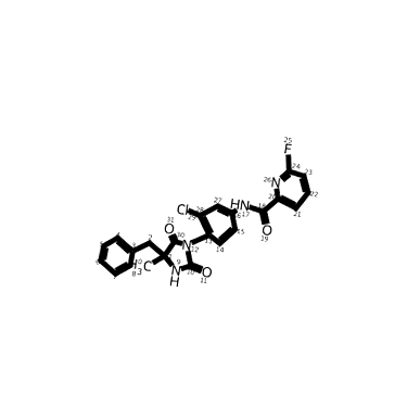 CC1(Cc2ccccc2)NC(=O)N(c2ccc(NC(=O)c3cccc(F)n3)cc2Cl)C1=O